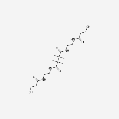 CC(C)(C(=O)NCCNC(=O)CCS)C(C)(C)C(=O)NCCNC(=O)CCS